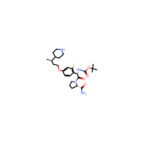 C[C@H](CCOc1ccc([C@H](NC(=O)OC(C)(C)C)C(=O)N2CCC[C@H]2C(N)=O)c(F)c1)C1CCNCC1